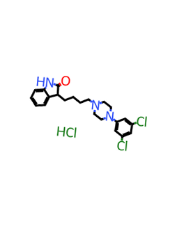 Cl.O=C1Nc2ccccc2C1CCCCN1CCN(c2cc(Cl)cc(Cl)c2)CC1